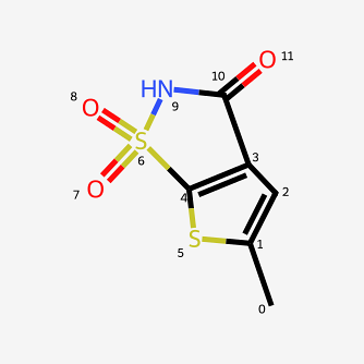 Cc1cc2c(s1)S(=O)(=O)NC2=O